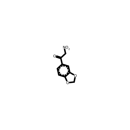 O=C(C[N+](=O)[O-])c1ccc2c(c1)OCO2